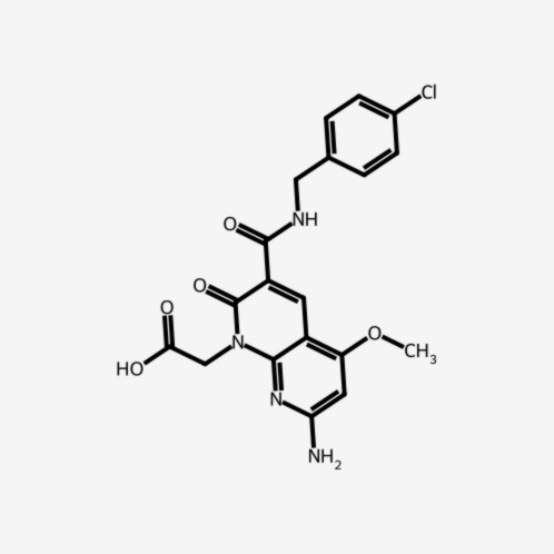 COc1cc(N)nc2c1cc(C(=O)NCc1ccc(Cl)cc1)c(=O)n2CC(=O)O